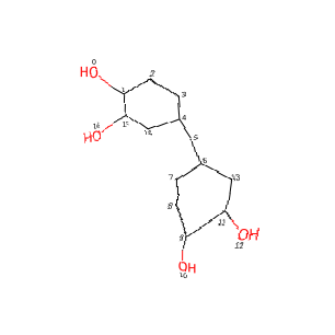 OC1CCC(CC2CCC(O)C(O)C2)CC1O